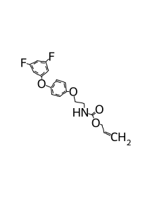 C=CCOC(=O)NCCOc1ccc(Oc2cc(F)cc(F)c2)cc1